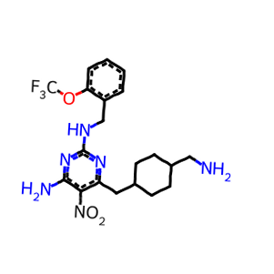 NCC1CCC(Cc2nc(NCc3ccccc3OC(F)(F)F)nc(N)c2[N+](=O)[O-])CC1